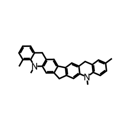 Cc1ccc2c(c1)Cc1cc3c(cc1N2C)Cc1cc2c(cc1-3)Cc1cccc(C)c1N2C